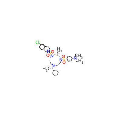 C[C@H]1CN(S(=O)(=O)c2ccc(N(C)C)cc2)CCCN([C@@H](C)C2CCCCC2)CCCN(S(=O)(=O)N2CCc3cc(Cl)ccc3C2)C1